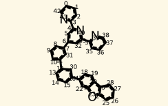 c1ccc(-c2cc(-c3cccc(-c4cccc(-c5ccc6c(c5)oc5ccccc56)c4)c3)cc(-c3ccccn3)n2)nc1